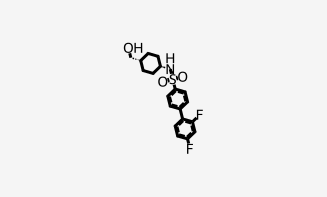 O=S(=O)(N[C@H]1CC[C@@H](CO)CC1)c1ccc(-c2ccc(F)cc2F)cc1